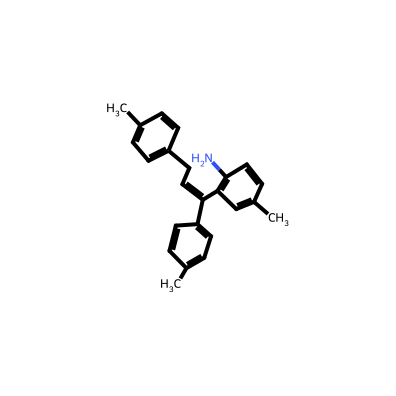 Cc1ccc(CC=C(c2ccc(C)cc2)c2cc(C)ccc2N)cc1